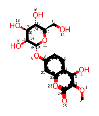 COc1c(O)c2ccc(O[C@H]3O[C@H](CO)[C@@H](O)[C@H](O)[C@@H]3O)cc2oc1=O